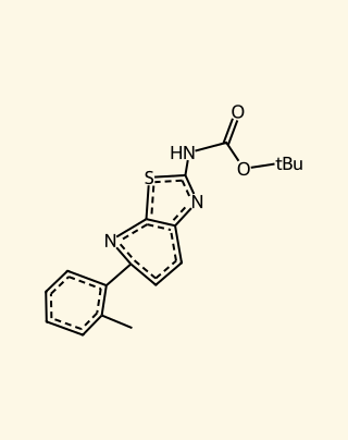 Cc1ccccc1-c1ccc2nc(NC(=O)OC(C)(C)C)sc2n1